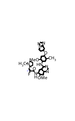 COc1cc2ncnc(Nc3cc(C)c(Oc4ccn5ncnc5c4)cc3OC)c2cc1NC(=O)/C(F)=C\[C@@H]1CCCN1C